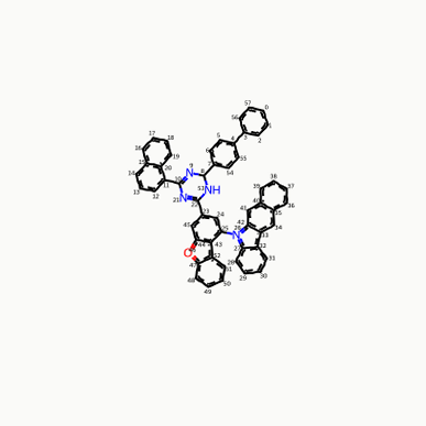 c1ccc(-c2ccc(C3N=C(c4cccc5ccccc45)N=C(c4cc(-n5c6ccccc6c6cc7ccccc7cc65)c5c(c4)oc4ccccc45)N3)cc2)cc1